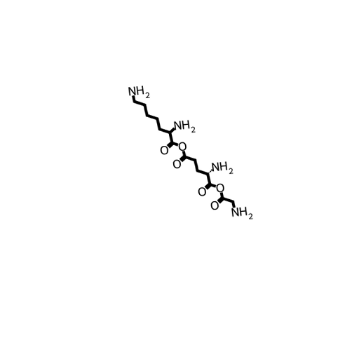 NCCCCCC(N)C(=O)OC(=O)CC[C@H](N)C(=O)OC(=O)CN